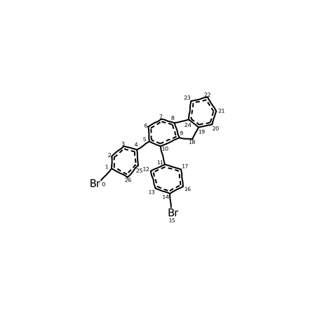 Brc1ccc(-c2ccc3c(c2-c2ccc(Br)cc2)Cc2ccccc2-3)cc1